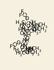 CN[C@@H](C)C(=O)NC(C(=O)N1CCC[C@H]1[C@@H](COc1ccc(F)c(F)c1)CN(C)C(=O)CNC(=O)C(=O)NCC(=O)N1C[C@H](COc2ccc(F)c(F)c2)[C@@H]2[C@H]1CCN2C(=O)[C@@H](NC(=O)[C@H](C)NC)C(C)(C)C)C(C)(C)C